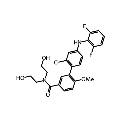 COc1ccc(C(=O)N(CCO)CCO)cc1-c1ccc(Nc2c(F)cccc2F)cc1Cl